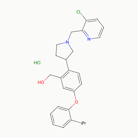 CC(C)c1ccccc1Oc1ccc(C2CCN(Cc3ncccc3Cl)C2)c(CO)c1.Cl